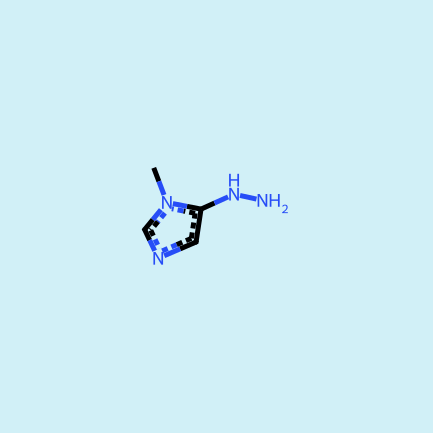 Cn1cncc1NN